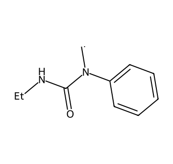 [CH2]N(C(=O)NCC)c1ccccc1